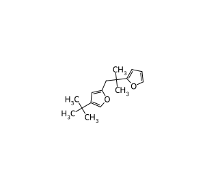 CC(C)(C)c1coc(CC(C)(C)c2ccco2)c1